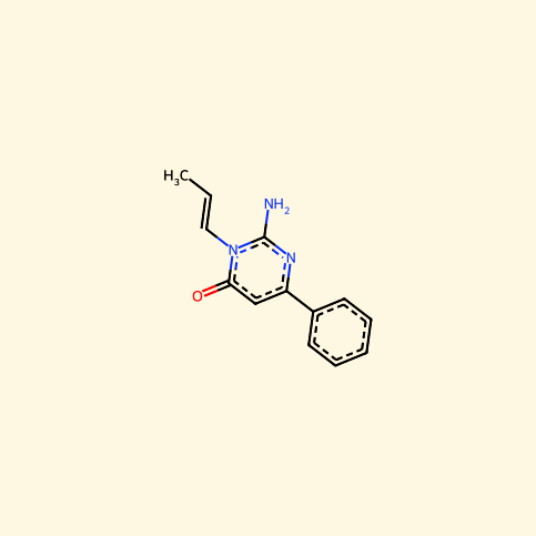 CC=Cn1c(N)nc(-c2ccccc2)cc1=O